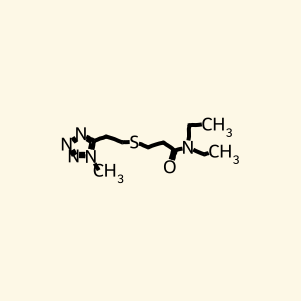 CCN(CC)C(=O)CCSCCc1nnnn1C